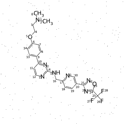 CN(C)CCOc1ccc(-c2ccnc(NCc3ccc(-c4noc(C(F)(F)F)n4)cn3)n2)cc1